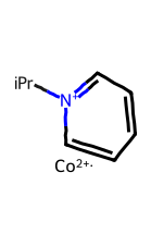 CC(C)[n+]1ccccc1.[Co+2]